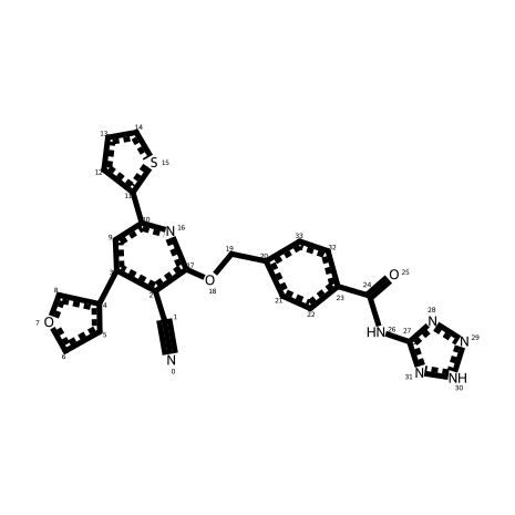 N#Cc1c(-c2ccoc2)cc(-c2cccs2)nc1OCc1ccc(C(=O)Nc2nn[nH]n2)cc1